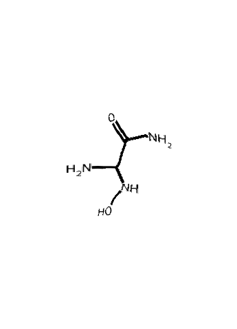 NC(=O)C(N)NO